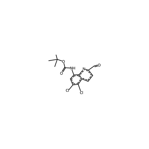 CC(C)(C)OC(=O)Nc1cc(Cl)c(Cl)c2ccc(C=O)nc12